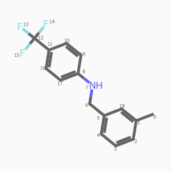 Cc1cccc(CNc2[c]cc(C(F)(F)F)cc2)c1